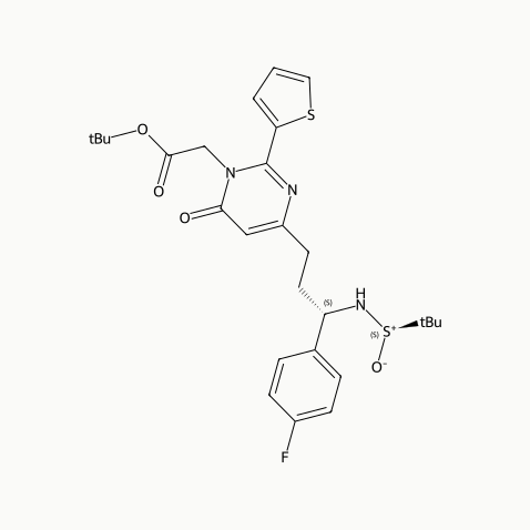 CC(C)(C)OC(=O)Cn1c(-c2cccs2)nc(CC[C@H](N[S@+]([O-])C(C)(C)C)c2ccc(F)cc2)cc1=O